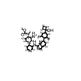 COC(=O)N(C)[C@@H]1[C@H](N)CN(c2ccncc2Nc2ncc3ccc(-c4c(F)cc(C5(O)CCC5)cc4F)nn23)C[C@@H]1C